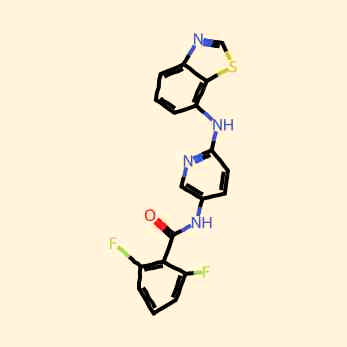 O=C(Nc1ccc(Nc2cccc3ncsc23)nc1)c1c(F)cccc1F